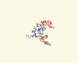 CCC(CC)([C@@H](O)CP(=O)(O)O)n1cnc2c(N)nc(C(=O)OC(C)(C)C)nc21